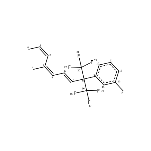 C\C=C/C(C)=C\C=C\C(c1cccc(C)c1)(C(F)(F)F)C(F)(F)F